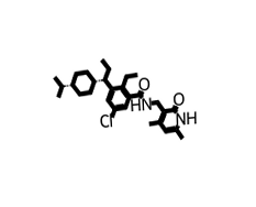 CCc1c(C(=O)NCc2c(C)cc(C)[nH]c2=O)cc(Cl)cc1C(CC)[C@H]1CC[C@@H](C(C)C)CC1